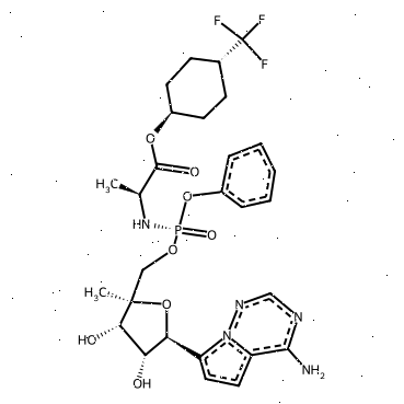 C[C@H](N[P@](=O)(OC[C@@]1(C)O[C@@H](c2ccc3c(N)ncnn23)[C@H](O)[C@@H]1O)Oc1ccccc1)C(=O)O[C@H]1CC[C@H](C(F)(F)F)CC1